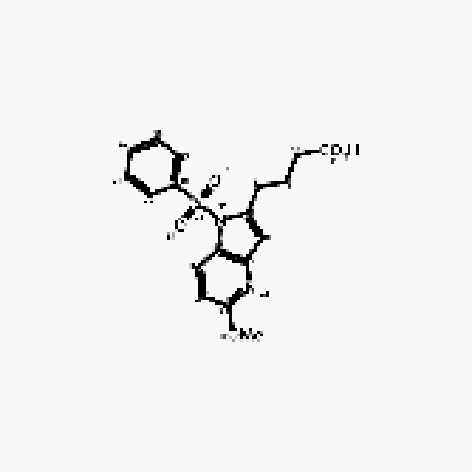 COc1ccc2c(cc(CCCC(=O)O)n2S(=O)(=O)c2ccccc2)n1